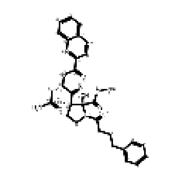 CC(C)(C)OC(=O)[C@]1(O)N(C(=O)CCCc2ccccc2)CC[C@@]1(N)C(=O)[C@H](CC(N)=O)NC(=O)c1cnc2ccccc2n1